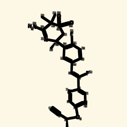 C#C[C@H](C)Oc1cnc(/C(F)=C/c2ccc(F)c([C@]3(C)CS(=O)(=O)C(C)(C)C(N)=N3)c2)cn1